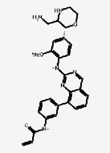 C=CC(=O)Nc1cccc(-c2cccc3cnc(Nc4ccc([C@H]5OCCNC5CN)cc4OC)nc23)c1